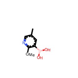 COc1ncc(C)cc1B(O)O